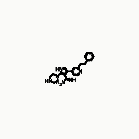 N=C(N)c1c(-c2ccnc(CCc3ccccc3)c2)c[nH]c1N1CCNCC1